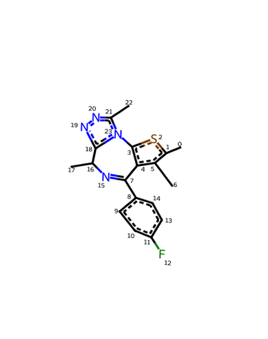 Cc1sc2c(c1C)C(c1ccc(F)cc1)=NC(C)c1nnc(C)n1-2